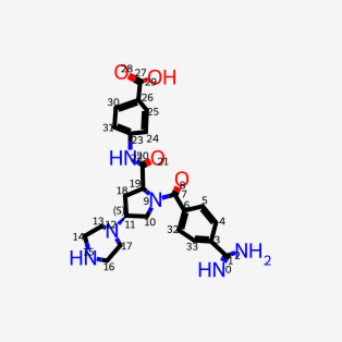 N=C(N)c1ccc(C(=O)N2C[C@@H](N3CCNCC3)CC2C(=O)Nc2ccc(C(=O)O)cc2)cc1